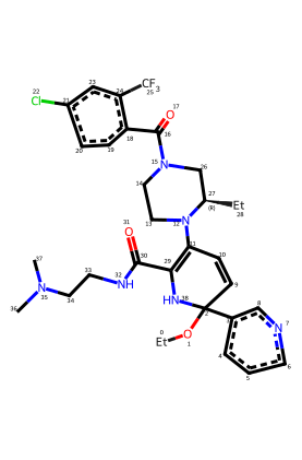 CCOC1(c2cccnc2)C=CC(N2CCN(C(=O)c3ccc(Cl)cc3C(F)(F)F)C[C@H]2CC)=C(C(=O)NCCN(C)C)N1